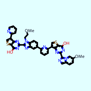 COCCn1c(-c2nc(O)c3scc(-c4ccccn4)c3n2)nc2cc(-c3cccc(-c4csc5c(O)nc(-c6ncc7ccc(OC)cn67)nc45)n3)ccc21